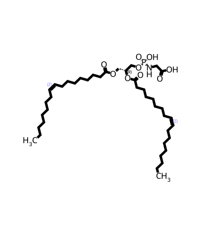 CCCCCCCC/C=C\CCCCCCCC(=O)OC[C@H](COP(=O)(O)NCC(=O)O)OC(=O)CCCCCCC/C=C\CCCCCCCC